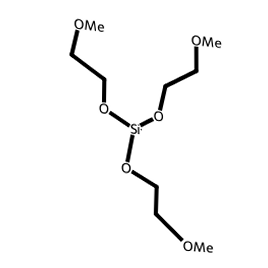 COCCO[Si](OCCOC)OCCOC